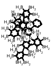 Bc1c(B)c(B)c(-c2c(B)c(B)c3c(c2B)c2c(B)c(B)c(B)c(B)c2n3-c2nc(-c3ccccc3-n3c4c(B)c(B)c(B)c(B)c4c4c(B)c(B)c(B)c(B)c43)nc(-n3c4c(B)c(B)c(B)c(B)c4c4c(B)c(B)c(B)c(B)c43)n2)c(B)c1B